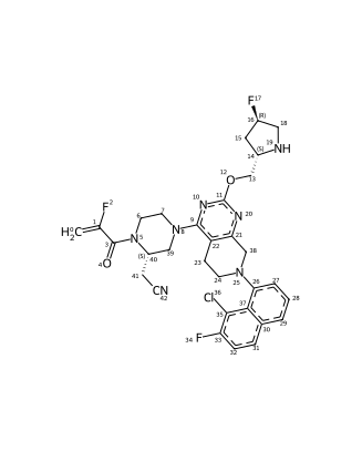 C=C(F)C(=O)N1CCN(c2nc(OC[C@@H]3C[C@@H](F)CN3)nc3c2CCN(c2cccc4ccc(F)c(Cl)c24)C3)C[C@@H]1CC#N